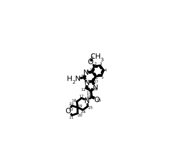 COc1cccc2c1nc(N)n1cc(C(=O)N3CCC4(CCOC4)CC3)nc21